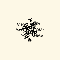 COc1cccc(Oc2cc3c4c(cc(Oc5cccc(OC)c5)c5c6c(Oc7cccc(OC)c7)cc7c8c(cc(Oc9cccc(OC)c9)c(c2c45)c86)C(=O)N(C(CC(C)C)C(=O)OCCC2CO2)C7=O)C(=O)N(C(CC(C)C)C(=O)OCCC2CO2)C3=O)c1